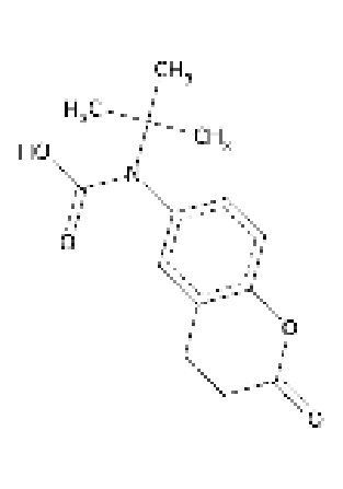 CC(C)(C)N(C(=O)O)c1ccc2c(c1)CCC(=O)O2